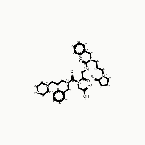 O=C(O)CN(C(=O)CNC(=O)N(CCCN1CCCC1=O)Cc1ccccc1)C(=O)N(CCCN1CCOCC1)Cc1ccccc1